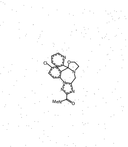 CNC(=O)c1nc2n(n1)-c1ccc(Cl)cc1C1(c3ccccn3)OCCN1C2